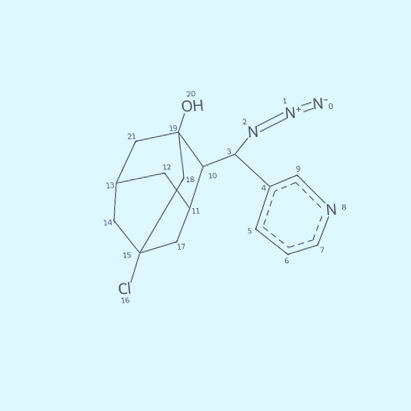 [N-]=[N+]=NC(c1cccnc1)C1C2CC3CC(Cl)(C2)CC1(O)C3